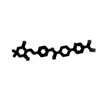 CC1(C)CC(=O)N(CCc2ccc(OC(=O)N3CCN(c4ccc(C(=O)O)cn4)CC3)cc2)C(=O)C1